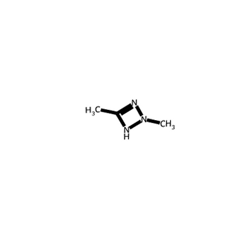 Cc1nn(C)[nH]1